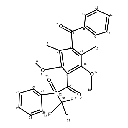 COc1c(C)c(C(=O)c2ccccc2)c(C)c(OC)c1C(=O)P(=O)(c1ccccc1)C(F)(F)F